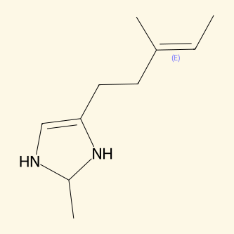 C/C=C(\C)CCC1=CNC(C)N1